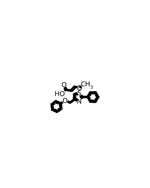 COC=CC(=O)O.c1ccc(OCc2csc(-c3ccccc3)n2)cc1